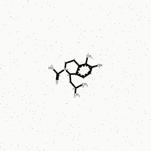 Cc1c(O)ccc2c1CCN(C(=O)O)C2CC(C)C